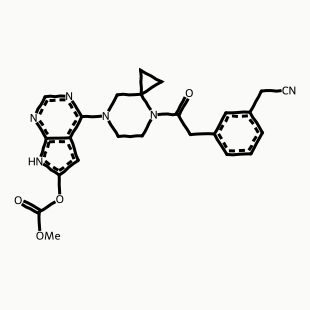 COC(=O)Oc1cc2c(N3CCN(C(=O)Cc4cccc(CC#N)c4)C4(CC4)C3)ncnc2[nH]1